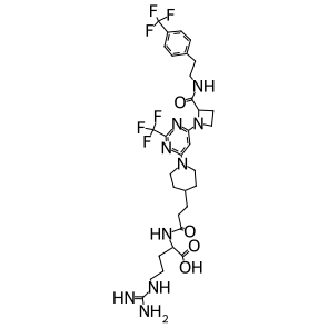 N=C(N)NCCCC(NC(=O)CCC1CCN(c2cc(N3CCC3C(=O)NCCc3ccc(C(F)(F)F)cc3)nc(C(F)(F)F)n2)CC1)C(=O)O